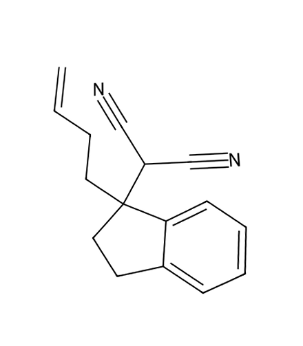 C=CCCC1(C(C#N)C#N)CCc2ccccc21